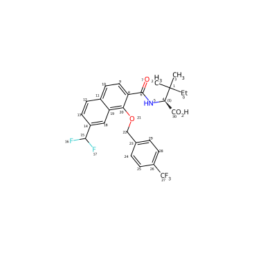 CCC(C)(C)[C@H](NC(=O)c1ccc2ccc(C(F)F)cc2c1OCc1ccc(C(F)(F)F)cc1)C(=O)O